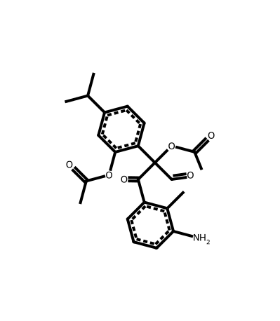 CC(=O)Oc1cc(C(C)C)ccc1C(C=O)(OC(C)=O)C(=O)c1cccc(N)c1C